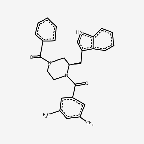 O=C(c1ccccc1)N1CCN(C(=O)c2cc(C(F)(F)F)cc(C(F)(F)F)c2)[C@H](Cc2c[nH]c3ccccc23)C1